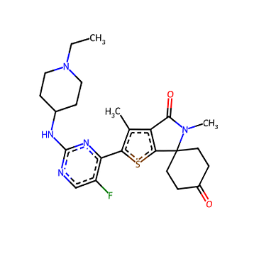 CCN1CCC(Nc2ncc(F)c(-c3sc4c(c3C)C(=O)N(C)C43CCC(=O)CC3)n2)CC1